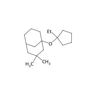 CCC1(OC23CCCC(CC(C)(C)C2)C3)CCCC1